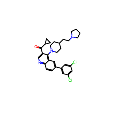 O=C(c1cnc2ccc(-c3cc(Cl)cc(Cl)c3)cc2c1N1CCC(CCN2CCCC2)CC1)C1CC1